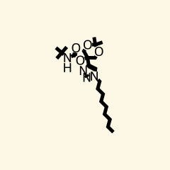 CCCCCCCCCn1cc(C2(OC(=O)NC(C)(C)C)COC(C)(C)OC2)nn1